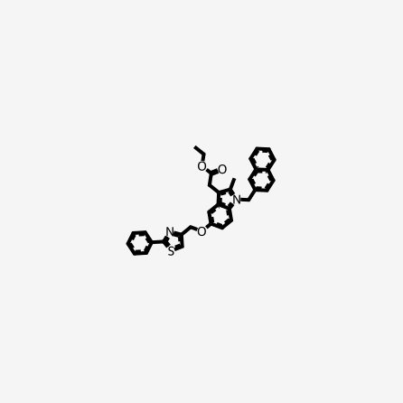 CCOC(=O)Cc1c(C)n(Cc2ccc3ccccc3c2)c2ccc(OCc3csc(-c4ccccc4)n3)cc12